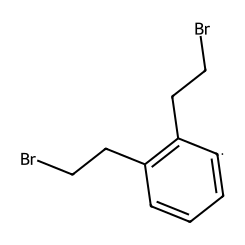 BrCCc1[c]cccc1CCBr